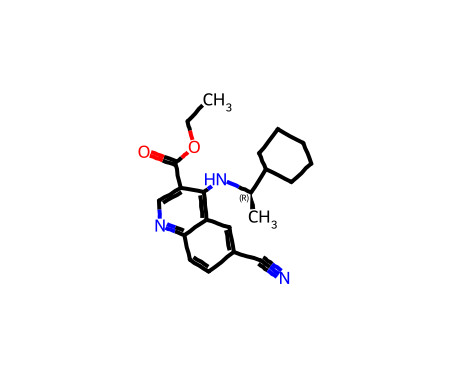 CCOC(=O)c1cnc2ccc(C#N)cc2c1N[C@H](C)C1CCCCC1